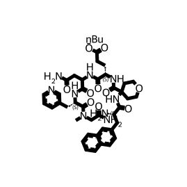 CCCCOC(=O)CC[C@H](NC(=O)C1(NC(=O)[C@@H](N)Cc2ccc3ccccc3c2)CCOCC1)C(=O)NC(CC(N)=O)C(=O)N[C@@H](Cc1cccnc1)C(=O)N(C)CC(N)=O